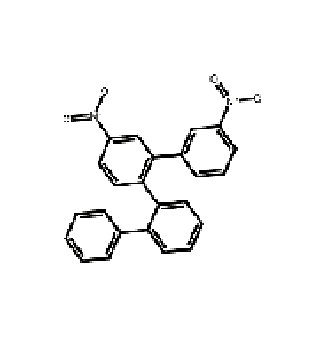 O=[N+]([O-])c1cccc(-c2cc([N+](=O)[O-])ccc2-c2ccccc2-c2ccccc2)c1